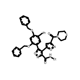 CCNC(=O)c1noc(-c2cc(C(C)C)c(OCc3ccccc3)cc2OCc2ccccc2)c1-c1cc(C(=O)N2CCSCC2)no1